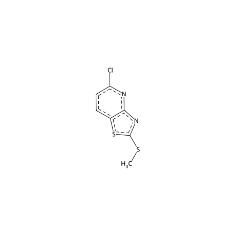 CSc1nc2nc(Cl)ccc2s1